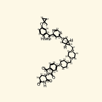 CC1(Oc2ccc3[nH]nc(-c4cc(N5C[C@@H]6[C@@H](CN7CCN(CC8CCN(c9ccc%10c(c9)C(=O)N(C9CCC(=O)NC9=O)C%10=O)CC8)CC7)[C@@H]6C5)ncn4)c3c2)CC1